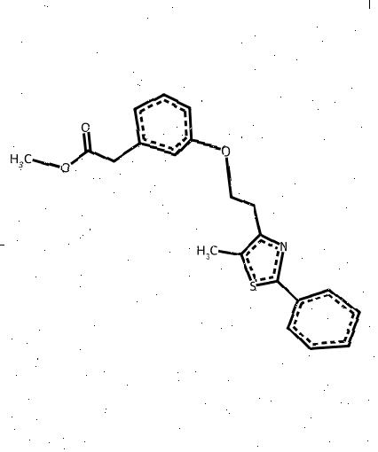 COC(=O)Cc1cccc(OCCc2nc(-c3ccccc3)sc2C)c1